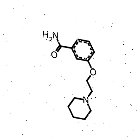 NC(=O)c1cccc(OCCN2CCCCC2)c1